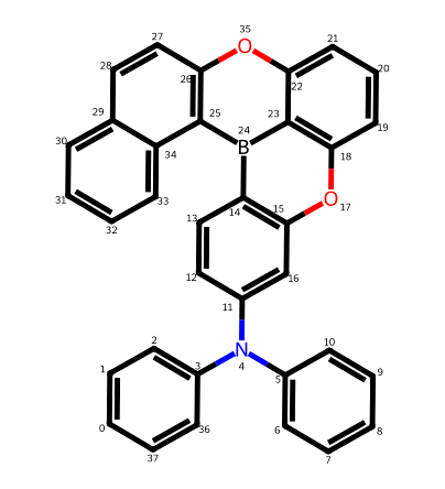 c1ccc(N(c2ccccc2)c2ccc3c(c2)Oc2cccc4c2B3c2c(ccc3ccccc23)O4)cc1